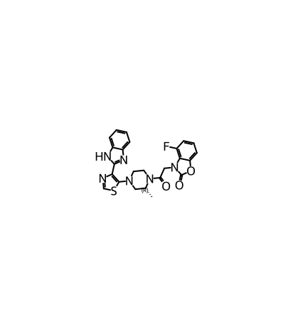 C[C@@H]1CN(c2scnc2-c2nc3ccccc3[nH]2)CCN1C(=O)Cn1c(=O)oc2cccc(F)c21